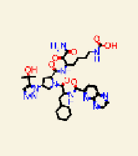 CC(C)(O)c1cnnn1[C@H]1C[C@@H](C(=O)NC(CCCCNC(=O)O)C(=O)C(N)=O)N(C(=O)C(CC2CCCCC2)NC(=O)c2ccc3nccnc3n2)C1